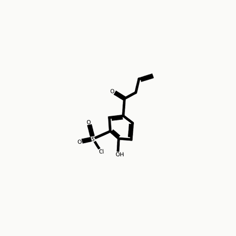 C=CCC(=O)c1ccc(O)c(S(=O)(=O)Cl)c1